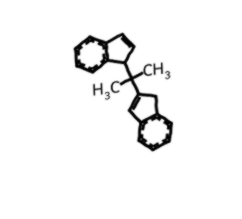 CC(C)(C1=Cc2ccccc2C1)C1C=Cc2ccccc21